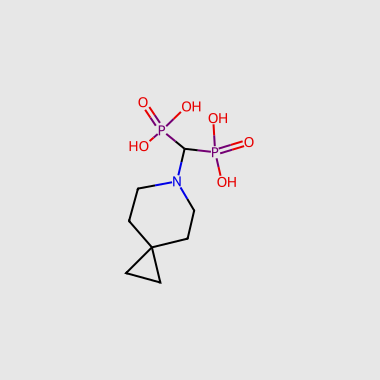 O=P(O)(O)C(N1CCC2(CC1)CC2)P(=O)(O)O